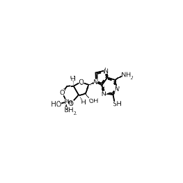 B[PH]1(O)OC[C@H]2O[C@@H](n3cnc4c(N)nc(S)nc43)[C@@H](O)[C@H]2O1